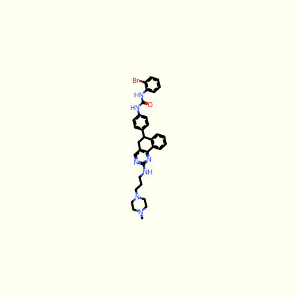 CN1CCN(CCCNc2ncc3c(n2)-c2ccccc2C(c2ccc(NC(=O)Nc4ccccc4Br)cc2)C3)CC1